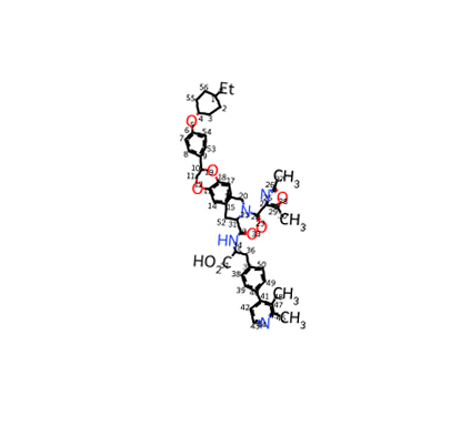 CCC1CCC(Oc2ccc(C3COc4cc5c(cc4O3)CN(C(=O)c3nc(C)oc3C)C(C(=O)NC(Cc3ccc(-c4ccnc(C)c4C)cc3)C(=O)O)C5)cc2)CC1